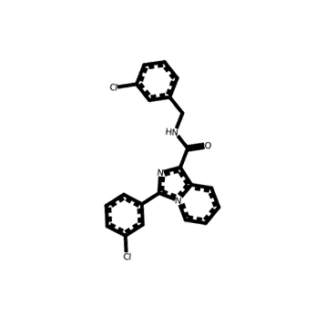 O=C(NCc1cccc(Cl)c1)c1nc(-c2cccc(Cl)c2)n2ccccc12